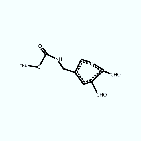 CC(C)(C)OC(=O)NCc1ccc(C=O)c(C=O)c1